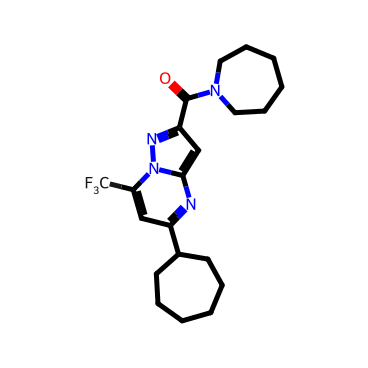 O=C(c1cc2nc(C3CCCCCC3)cc(C(F)(F)F)n2n1)N1CCCCCC1